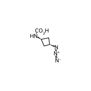 [N-]=[N+]=N[C@H]1C[C@@H](NC(=O)O)C1